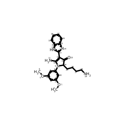 COc1cc(OC)cc(N2C(N)=C(c3nc4ccccc4[nH]3)C(=O)C2CCCCN)c1